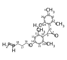 Cc1cc(C)c(C2C(=O)C2c2c(C)cc(OCCCPP)cc2C)c(C)c1